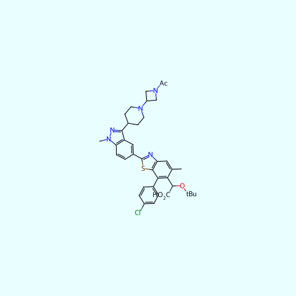 CC(=O)N1CC(N2CCC(c3nn(C)c4ccc(-c5nc6cc(C)c(C(OC(C)(C)C)C(=O)O)c(-c7ccc(Cl)cc7)c6s5)cc34)CC2)C1